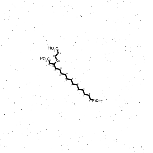 CCCCCCCCCCCCCCCCCCCCCCCC(CC(=O)O)SCCC(=O)O